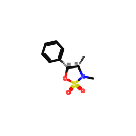 C[C@H]1[C@@H](c2ccccc2)OS(=O)(=O)N1C